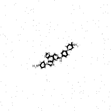 CC1(N)CCN(c2ccc(Nc3ncc(-c4cnco4)c(-c4ncn([C@H]5CC[C@@H](N)CC5)n4)n3)cc2)CC1